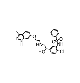 Cc1n[nH]c2cc(OCCNCC(O)c3ccc(Cl)c(NS(=O)(=O)c4ccccc4)c3)ccc12